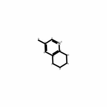 Cc1cnc2c(c1)CCCC2